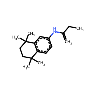 C=C(CC)Nc1ccc2c(c1)C(C)(C)CCC2(C)C